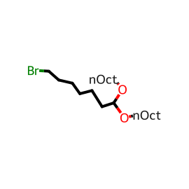 CCCCCCCCOC(CCCCCCBr)OCCCCCCCC